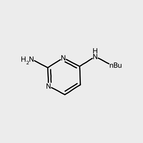 CCCCNc1ccnc(N)n1